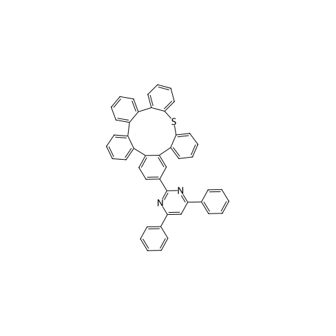 c1ccc(-c2cc(-c3ccccc3)nc(-c3ccc4c(c3)-c3ccccc3Sc3ccccc3-c3ccccc3-c3ccccc3-4)n2)cc1